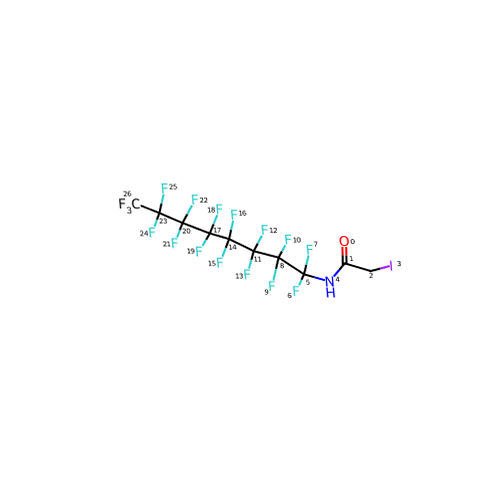 O=C(CI)NC(F)(F)C(F)(F)C(F)(F)C(F)(F)C(F)(F)C(F)(F)C(F)(F)C(F)(F)F